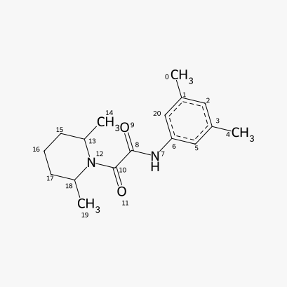 Cc1cc(C)cc(NC(=O)C(=O)N2C(C)CCCC2C)c1